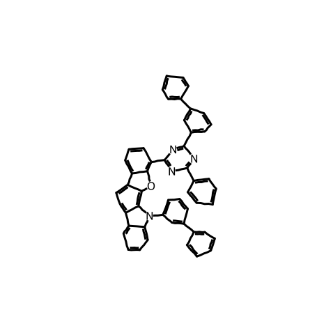 c1ccc(-c2cccc(-c3nc(-c4ccccc4)nc(-c4cccc5c4oc4c5ccc5c6ccccc6n(-c6cccc(-c7ccccc7)c6)c54)n3)c2)cc1